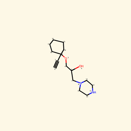 C#CC1(OCC(O)CN2CCNCC2)CCCCC1